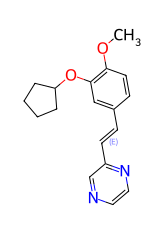 COc1ccc(/C=C/c2cnccn2)cc1OC1CCCC1